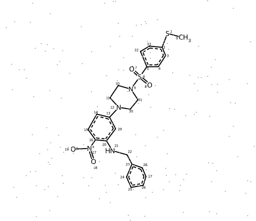 CSc1ccc(S(=O)(=O)N2CCN(c3ccc([N+](=O)[O-])c(NCc4ccccc4)c3)CC2)cc1